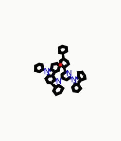 c1ccc(-c2ccc(-c3cc(-n4c5ccccc5c5ccc6c(c7ccccc7n6-c6ccccc6)c54)cc(-n4c5ccccc5c5ccccc54)n3)cc2)cc1